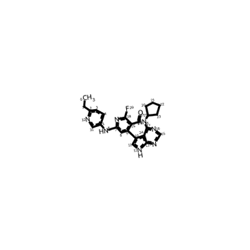 CCc1ccc(Nc2cc(-c3c[nH]c4ncnc(NC5CCCC5)c34)c(C=O)c(F)n2)cn1